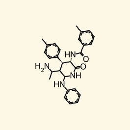 Cc1ccc([C@@H]2C(C(C)N)C(Nc3ccccc3)NC(=O)[C@H]2NC(=O)c2cccc(C)c2)cc1